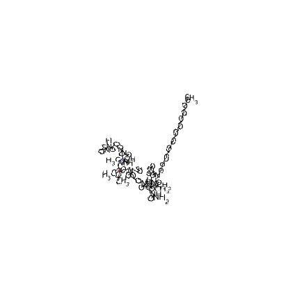 COCCOCCOCCOCCOCCOCCOCCOCCOCCOCCOCCN(CCC(=O)N[C@H](C(=O)N[C@@H](CCCNC(N)=O)C(=O)Nc1ccc(COC(=O)N(CCOC23CC4(C)CC(C)(CC(CN/C(C)=C(\C=N)c5ccc(N6CCc7cccc(C(=O)Nc8nc9ccccc9s8)c7C6)nc5C(=O)O)(C4)C2)C3)CC[S+]=O)cc1)C(C)C)C(=O)CN1C(=O)C=CC1=O